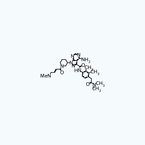 CNC/C=C/C(=O)N1CCCC(n2nc(C(=O)Nc3ccc(CC(=O)N(C)C)c(C)c3C)c3c(N)ncnc32)C1